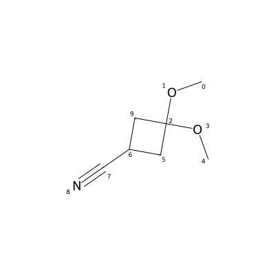 COC1(OC)CC(C#N)C1